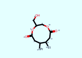 CCCC1CC(=O)OC(CO)COC(=O)CC1CC